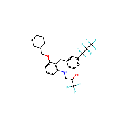 OC(CNc1cccc(OCC2CCCCC2)c1Cc1cccc(C(F)(F)C(F)(F)C(F)(F)F)c1)C(F)(F)F